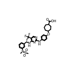 CN(c1cccc(CNc2nc(Nc3ccc(OC4CCCC(C(=O)O)CC4)cc3)ncc2C(F)(F)F)c1)S(C)(=O)=O